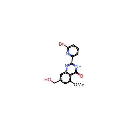 COc1cc(CO)cc2nc(-c3cccc(Br)n3)[nH]c(=O)c12